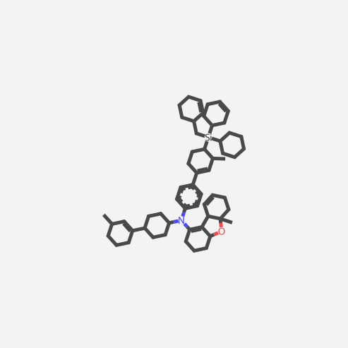 CC1C=C(C2CCC(N(C3=C4C(CCC3)OC3(C)CCC=CC43)c3ccc(C4=CC(C)C([Si](CC5C=CCCC5)(C5CC=CCC5)C5CCCCC5)CC4)cc3)CC2)CCC1